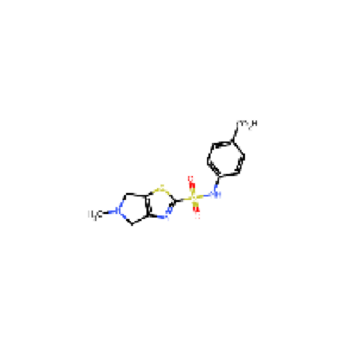 CN1Cc2nc(S(=O)(=O)Nc3ccc(C(=O)O)cc3)sc2C1